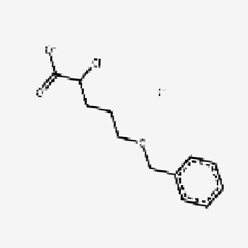 O=C([O-])C(Cl)CCCOCc1ccccc1.[K+]